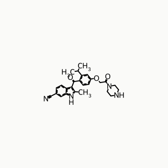 Cc1[nH]c2cc(C#N)ccc2c1C(=O)c1ccc(OCC(=O)N2CCNCC2)cc1C(C)C